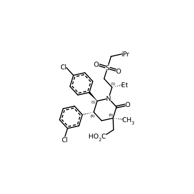 CC[C@@H](CS(=O)(=O)CC(C)C)N1C(=O)[C@@](C)(CC(=O)O)C[C@H](c2cccc(Cl)c2)[C@H]1c1ccc(Cl)cc1